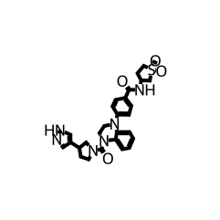 O=C(NC1CCS(=O)(=O)C1)c1ccc(N2CCN(C(=O)N3CCC(c4cn[nH]c4)C3)c3ccccc32)cc1